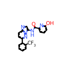 O=C(Nc1cnc2ccc(-c3ccccc3C(F)(F)F)nn12)c1cccc(O)n1